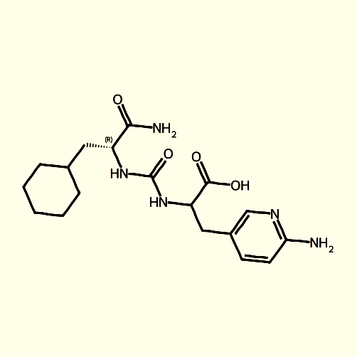 NC(=O)[C@@H](CC1CCCCC1)NC(=O)NC(Cc1ccc(N)nc1)C(=O)O